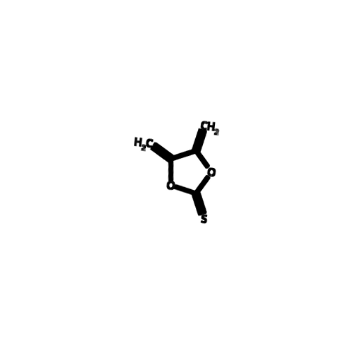 C=c1oc(=S)oc1=C